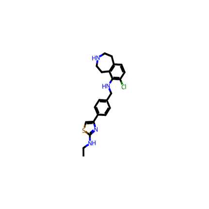 CCNc1nc(-c2ccc(CNc3c(Cl)ccc4c3CCNCC4)cc2)cs1